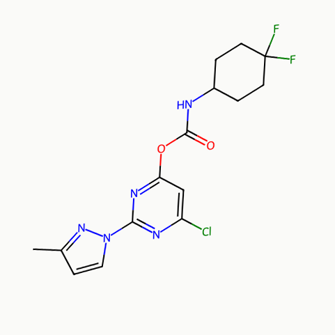 Cc1ccn(-c2nc(Cl)cc(OC(=O)NC3CCC(F)(F)CC3)n2)n1